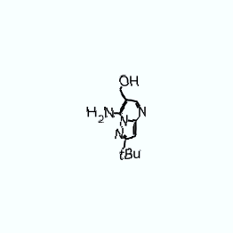 CC(C)(C)c1cc2ncc(CO)c(N)n2n1